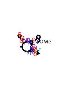 COc1cnc(O[C@@H]2C[C@H]3C(=O)N[C@]4(C(=O)NS(=O)(=O)C5(CF)CC5)C[C@H]4/C=C\CC[C@@H](C)C[C@@H](C)[C@H](NC(=O)OC4(C)CCOC4)C(=O)N3C2)c2ccccc12